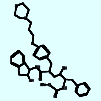 CC(C)(C)OC(=O)NC(Cc1ccccc1)C(O)CC(Cc1ccc(OCCCN2CCOCC2)cc1)C(=O)NC1c2ccccc2CC1O